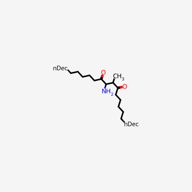 CCCCCCCCCCCCCCCC(=O)C(C)C(N)C(=O)CCCCCCCCCCCCCCC